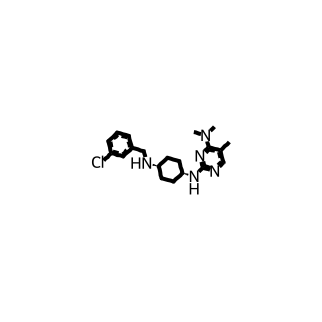 Cc1cnc(N[C@H]2CC[C@@H](NCc3cccc(Cl)c3)CC2)nc1N(C)C